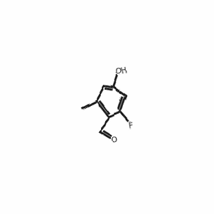 Cc1cc(O)cc(F)c1C=O